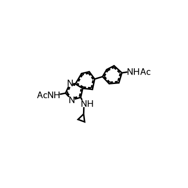 CC(=O)Nc1ccc(-c2ccc3nc(NC(C)=O)nc(NC4CC4)c3c2)cc1